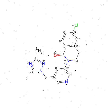 Cc1ncn(Cc2cncc(N3CCc4cc(Cl)ccc4C3=O)c2)n1